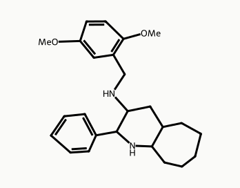 COc1ccc(OC)c(CNC2CC3CCCCCC3NC2c2ccccc2)c1